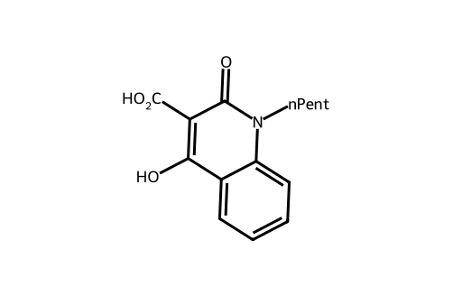 CCCCCn1c(=O)c(C(=O)O)c(O)c2ccccc21